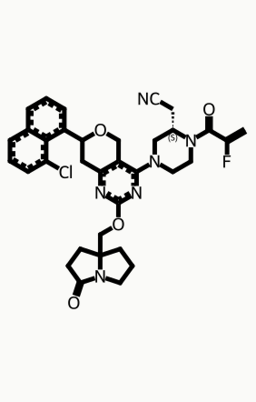 C=C(F)C(=O)N1CCN(c2nc(OCC34CCCN3C(=O)CC4)nc3c2COC(c2cccc4cccc(Cl)c24)C3)C[C@@H]1CC#N